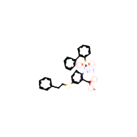 COC(=O)c1cc(SCCc2ccccc2)ccc1NS(=O)(=O)c1ccccc1-c1ccccc1